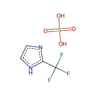 FC(F)(F)c1ncc[nH]1.O=S(=O)(O)O